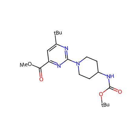 COC(=O)c1cc(C(C)(C)C)nc(N2CCC(NC(=O)OC(C)(C)C)CC2)n1